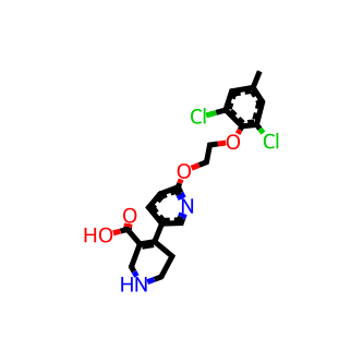 Cc1cc(Cl)c(OCCOc2ccc(C3=C(C(=O)O)CNCC3)cn2)c(Cl)c1